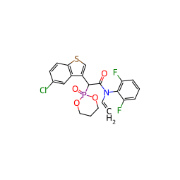 C=CN(C(=O)C(c1csc2ccc(Cl)cc12)P1(=O)OCCCO1)c1c(F)cccc1F